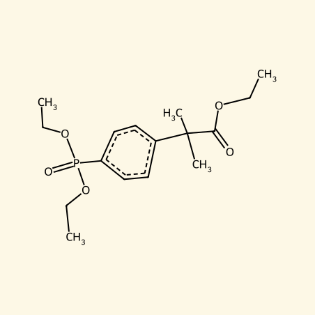 CCOC(=O)C(C)(C)c1ccc(P(=O)(OCC)OCC)cc1